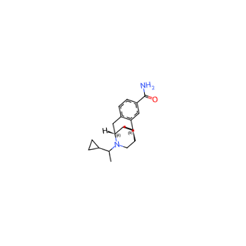 CC(C1CC1)N1CC[C@]23CCCCC2[C@H]1Cc1ccc(C(N)=O)cc13